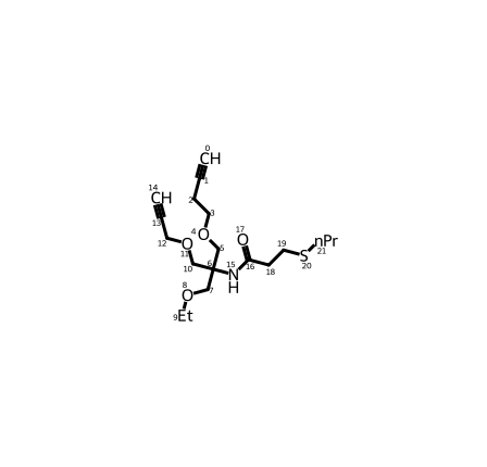 C#CCCOCC(COCC)(COCC#C)NC(=O)CCSCCC